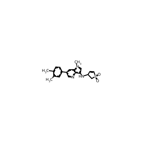 Cc1ccc(-c2cnc3c(NC4C=CS(=O)(=O)C4)cn(C)c3c2)cc1C